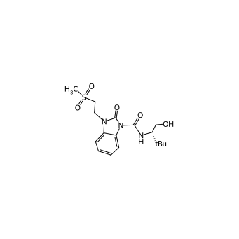 CC(C)(C)[C@@H](CO)NC(=O)n1c(=O)n(CCS(C)(=O)=O)c2ccccc21